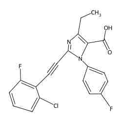 CCc1nc(C#Cc2c(F)cccc2Cl)n(-c2ccc(F)cc2)c1C(=O)O